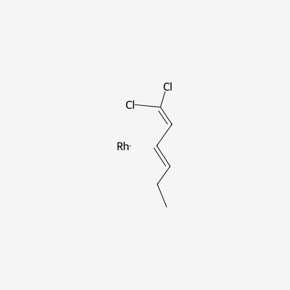 CCC=CC=C(Cl)Cl.[Rh]